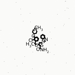 CC(Oc1cc(-n2cnc3ccccc32)sc1C(N)=O)c1cccc(OC2CCN(C)CC2)c1Cl